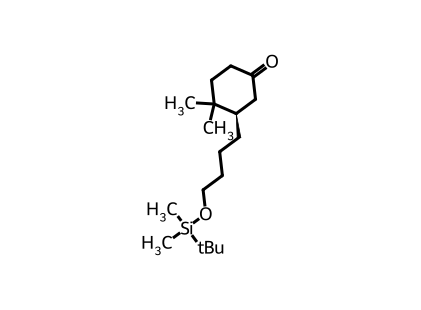 CC1(C)CCC(=O)C[C@H]1CCCCO[Si](C)(C)C(C)(C)C